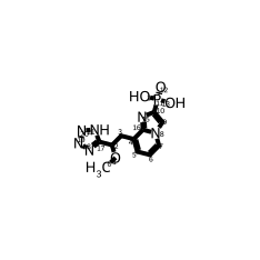 COC(Cc1cccn2cc(P(=O)(O)O)nc12)c1nnn[nH]1